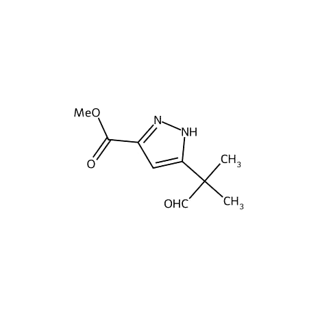 COC(=O)c1cc(C(C)(C)C=O)[nH]n1